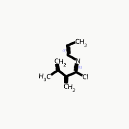 C=C(C)C(=C)/C(Cl)=N\C=C/C